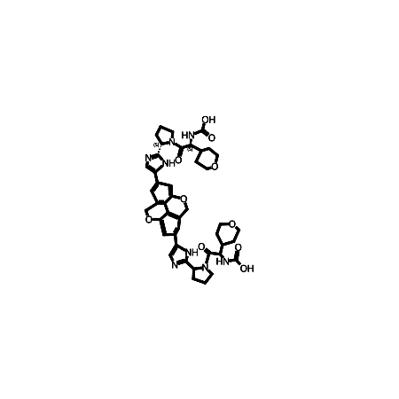 O=C(O)NC(C(=O)N1CCCC1c1ncc(-c2cc3c4c(c2)OCc2cc(-c5cnc([C@@H]6CCCN6C(=O)[C@@H](NC(=O)O)C6CCOCC6)[nH]5)cc(c2-4)OC3)[nH]1)C1CCOCC1